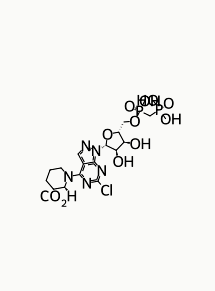 O=C(O)[C@H]1CCCCN1c1nc(Cl)nc2c1cnn2[C@@H]1O[C@H](COP(=O)(O)CP(=O)(O)O)[C@@H](O)[C@H]1O